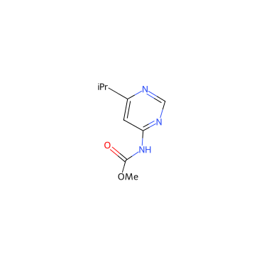 COC(=O)Nc1cc(C(C)C)ncn1